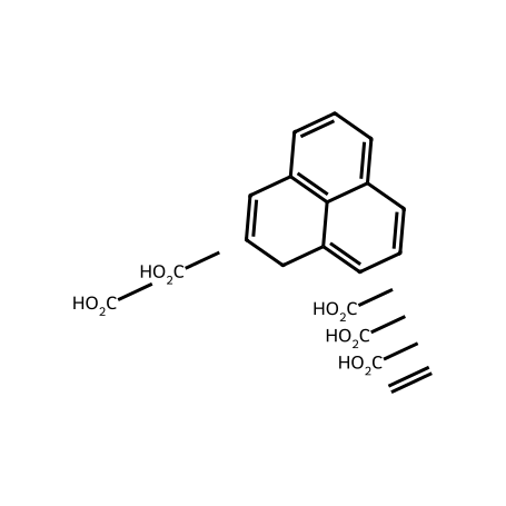 C1=Cc2cccc3cccc(c23)C1.C=C.CC(=O)O.CC(=O)O.CC(=O)O.CC(=O)O.CC(=O)O